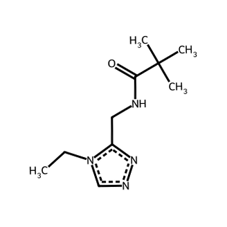 CCn1cnnc1CNC(=O)C(C)(C)C